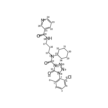 Cc1cccc(Cl)c1-n1nnn(C(=O)N(CCCNC(=O)c2cccnc2)C2CCCCC2)c1=O